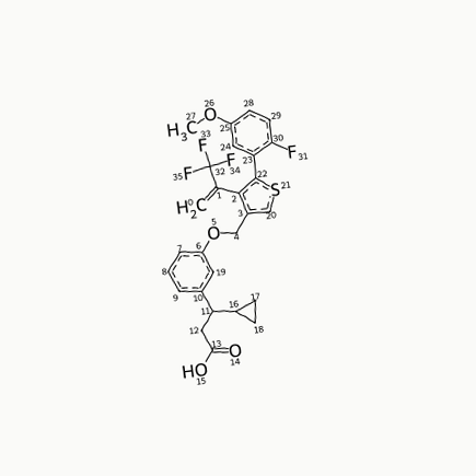 C=C(c1c(COc2cccc(C(CC(=O)O)C3CC3)c2)csc1-c1cc(OC)ccc1F)C(F)(F)F